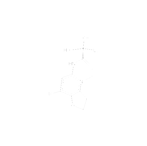 CCC(C)(C)C(=O)Nc1cc(Br)c2c([n+]1[O-])CCO2